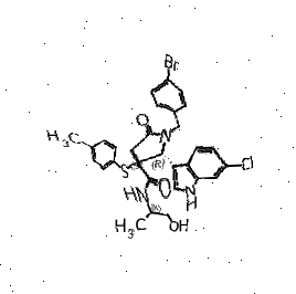 Cc1ccc(S[C@@]2(C(=O)N[C@H](C)CO)CC(=O)N(Cc3ccc(Br)cc3)[C@@H]2c2c[nH]c3cc(Cl)ccc23)cc1